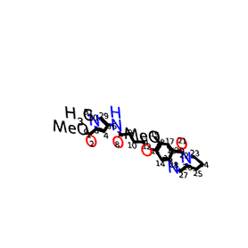 COC(=O)c1cc(NC(=O)CCCOc2cc3c(cc2OC)C(=O)N2CCCC2C=N3)cn1C